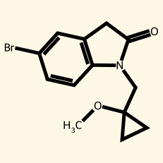 COC1(CN2C(=O)Cc3cc(Br)ccc32)CC1